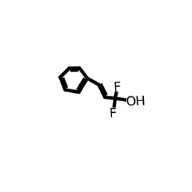 OC(F)(F)C=Cc1ccccc1